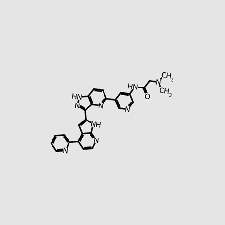 CN(C)CC(=O)Nc1cncc(-c2ccc3[nH]nc(-c4cc5c(-c6ccccn6)ccnc5[nH]4)c3n2)c1